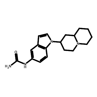 NC(=O)Nc1ccc2c(ccn2C2CCN3CCCCC3C2)c1